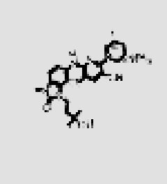 C[C@@H]1C[C@H](N)CN(c2nc(Nc3ccc4c(c3)n(CCC(C)(C)O)c(=O)n4C)c(Cl)cc2C#N)C1